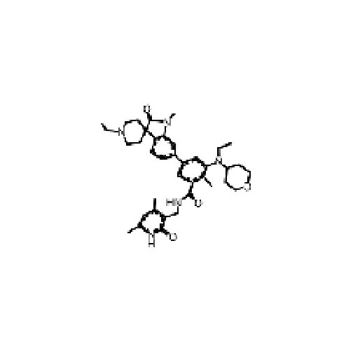 CCN1CCC2(CC1)C(=O)N(C)c1cc(-c3cc(C(=O)NCc4c(C)cc(C)[nH]c4=O)c(C)c(N(CC)C4CCOCC4)c3)ccc12